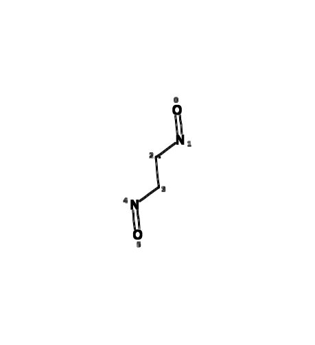 O=N[CH]CN=O